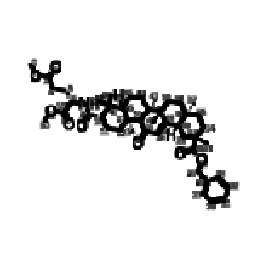 COC(=O)CC[C@H](NC(=O)[C@H]1CC[C@]2(C)C3C(=O)C=C4[C@@H]5C[C@@](C)(C(=O)OCc6ccccc6)CC[C@]5(C)CC[C@@]4(C)[C@]3(C)CC[C@H]2C1(C)C)C(=O)OC